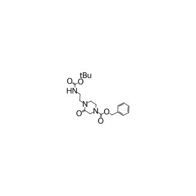 CC(C)(C)OC(=O)NCCN1CCN(C(=O)OCc2ccccc2)CC1=O